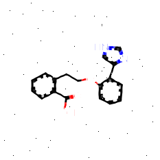 O=C(O)c1ccccc1CCOc1ccccc1-c1c[nH]cn1